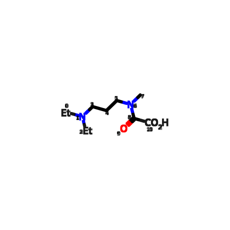 CCN(CC)CCCN(C)C(=O)C(=O)O